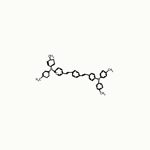 CC1=CC=C(N(C2=CCC(C)C=C2)c2ccc(/C=C/c3ccc(/C=C/c4ccc(N(c5ccc(C)cc5)c5ccc(C)cc5)cc4)cc3)cc2)CC1